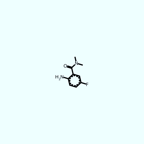 CN(C)C(=O)c1cc(F)ccc1N